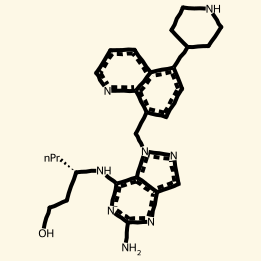 CCC[C@@H](CCO)Nc1nc(N)nc2cnn(Cc3ccc(C4CCNCC4)c4cccnc34)c12